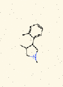 Cc1ccccc1C1CN(C)CC1C